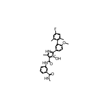 CNC(=O)c1cccc(NC(=O)c2c(C)[nH]c(-c3ccc(OC)c(-c4c(C)cc(F)cc4C)c3)[n+]2O)c1